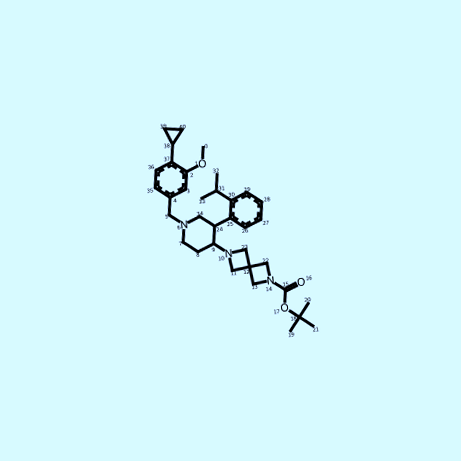 COc1cc(CN2CCC(N3CC4(CN(C(=O)OC(C)(C)C)C4)C3)C(c3ccccc3C(C)C)C2)ccc1C1CC1